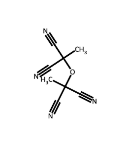 CC(C#N)(C#N)OC(C)(C#N)C#N